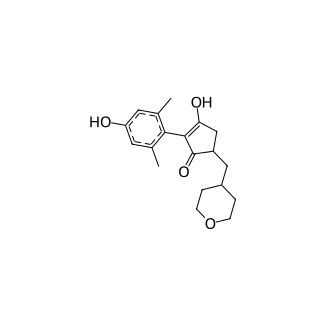 Cc1cc(O)cc(C)c1C1=C(O)CC(CC2CCOCC2)C1=O